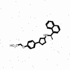 C[C@@H](NC1CCC(c2ccc(OCC(=O)O)cc2)C1)c1cccc2ccccc12